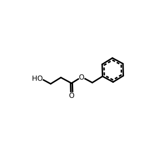 O=C(CCO)OCc1ccccc1